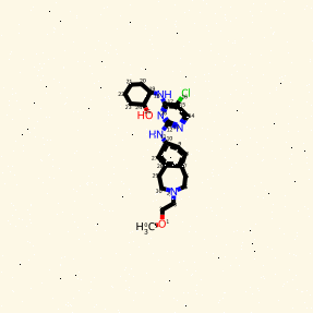 COCCN1CCc2ccc(Nc3ncc(Cl)c(NC4CCCCC4O)n3)cc2CC1